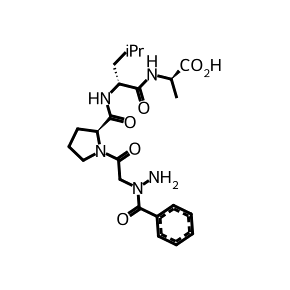 CC(C)C[C@@H](NC(=O)[C@@H]1CCCN1C(=O)CN(N)C(=O)c1ccccc1)C(=O)N[C@H](C)C(=O)O